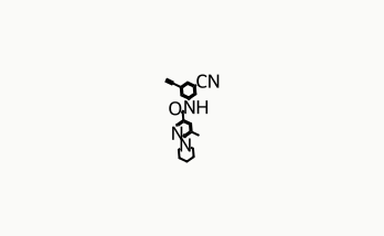 C#Cc1cc(C#N)cc(NC(=O)c2cnc(N3CCCCC3)c(C)c2)c1